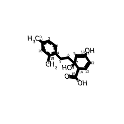 Cc1ccc(CCC2(O)C=C(O)C=CC2C(=O)O)c(C)c1